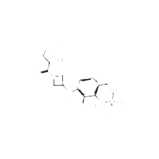 N[C@@H](CC(=O)O)C(=O)N1CC(Oc2ccc3c(c2C(=O)O)O[B-](O)(O)CC3)C1